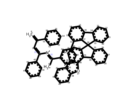 C=C(/C=C(\N=C(/C)c1cccc(-c2cccc3c2C2(c4ccccc4-3)c3ccccc3-c3c2ccc2c3oc3ccccc32)c1)c1ccccc1)c1ccccc1